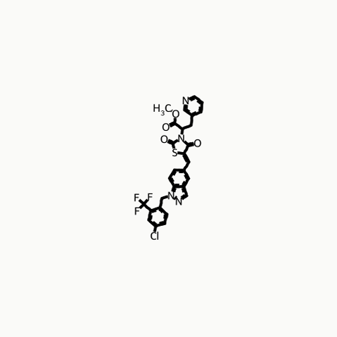 COC(=O)C(Cc1cccnc1)N1C(=O)S/C(=C\c2ccc3c(cnn3Cc3ccc(Cl)cc3C(F)(F)F)c2)C1=O